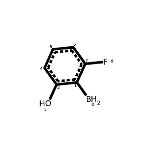 Bc1c(O)cccc1F